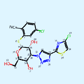 N#Cc1ccc(Cl)cc1S[C@H]1O[C@H](CO)[C@H](O)[C@H](n2cc(-c3nc(Cl)cs3)nn2)[C@H]1O